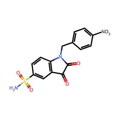 NS(=O)(=O)c1ccc2c(c1)C(=O)C(=O)N2Cc1ccc([N+](=O)[O-])cc1